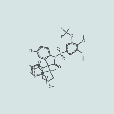 CNC(=O)[C@@H]1C[C@@H](O)C[N+]1(C)C1(c2cccnc2OC)C(=O)N(S(=O)(=O)c2cc(OC)c(OC)c(OC(F)(F)F)c2)c2ccc(Cl)cc21